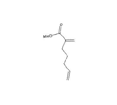 C=CCCCC(=C)C(=O)OC